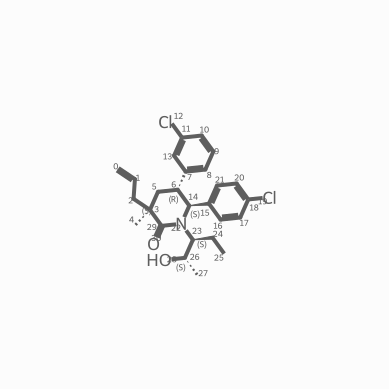 C=CC[C@@]1(C)C[C@H](c2cccc(Cl)c2)[C@@H](c2ccc(Cl)cc2)N([C@@H](CC)[C@H](C)O)C1=O